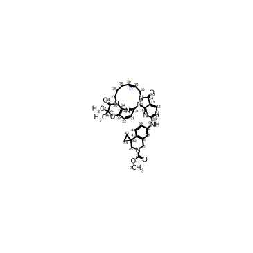 COC(=O)N1Cc2cc(Nc3ncc4c(=O)n5n(c4n3)-c3ccc4c(n3)N(CCC/C=C\C5)C(=O)C(C)(C)O4)ccc2C2(CC2)C1